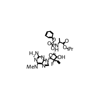 C#C[C@@]1(F)[C@H](O)[C@@H](COP(=O)(NC(C)C(=O)OC(C)C)Oc2ccccc2)O[C@H]1n1cnc2c(NC)nc(N)nc21